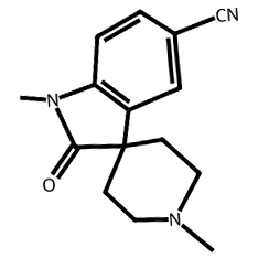 CN1CCC2(CC1)C(=O)N(C)c1ccc(C#N)cc12